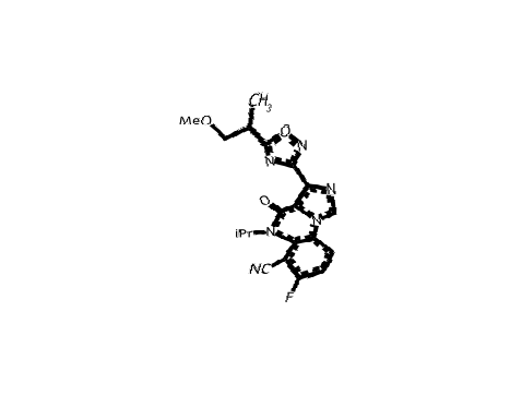 COCC(C)c1nc(-c2ncn3c2c(=O)n(C(C)C)c2c(C#N)c(F)ccc23)no1